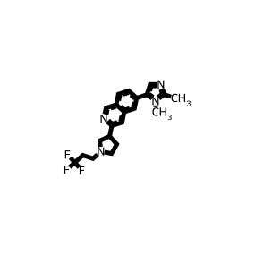 Cc1ncc(-c2ccc3cnc(C4CCN(CCC(F)(F)F)C4)cc3c2)n1C